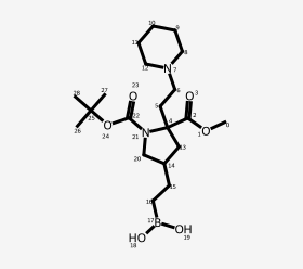 COC(=O)C1(CCN2CCCCC2)CC(CCB(O)O)CN1C(=O)OC(C)(C)C